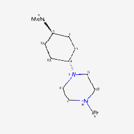 CN[C@H]1CC[C@H](N2CCN(C(C)C)CC2)CC1